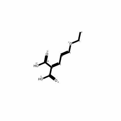 CCOC=CC=C(C(=O)O)C(=O)O